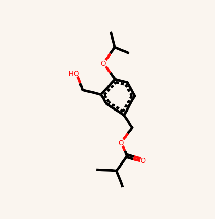 CC(C)Oc1ccc(COC(=O)C(C)C)cc1CO